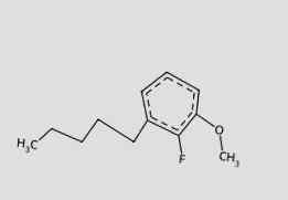 CCCCCc1cccc(OC)c1F